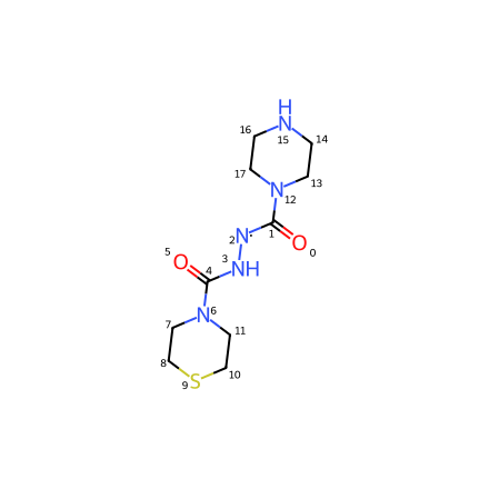 O=C([N]NC(=O)N1CCSCC1)N1CCNCC1